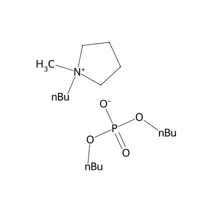 CCCCOP(=O)([O-])OCCCC.CCCC[N+]1(C)CCCC1